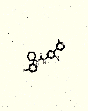 COc1cc(NC(=O)NC2(c3cccc(F)c3)CCCCC2)ccc1-c1ccnc(C)c1